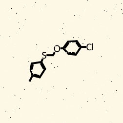 Cc1ccc(SCOc2ccc(Cl)cc2)cc1